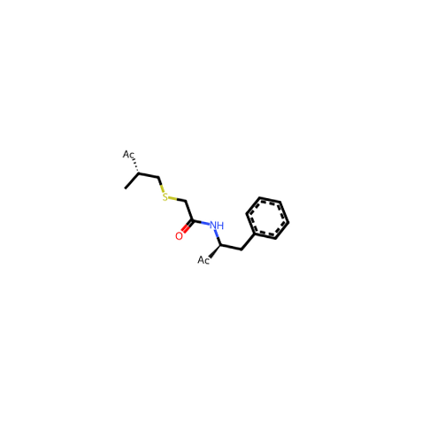 CC(=O)[C@H](Cc1ccccc1)NC(=O)CSC[C@H](C)C(C)=O